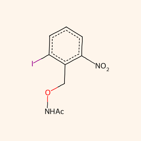 CC(=O)NOCc1c(I)cccc1[N+](=O)[O-]